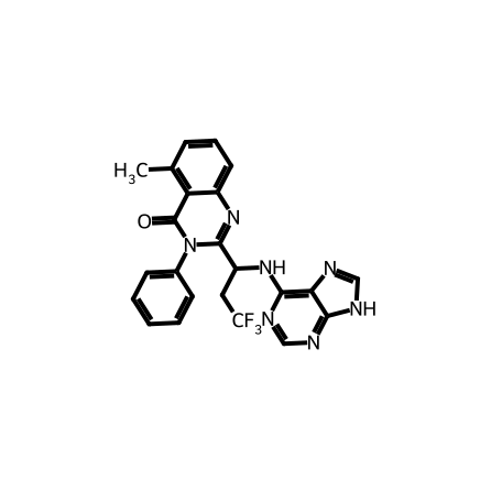 Cc1cccc2nc(C(CC(F)(F)F)Nc3ncnc4[nH]cnc34)n(-c3ccccc3)c(=O)c12